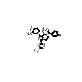 Cc1nsc(-c2nc(N3CCCC(C)(C)C3)c3n2CCN(C(=O)c2ccc(F)cc2)[C@@H]3C)n1